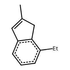 CCc1cccc2c1CC(C)=C2